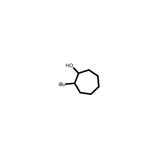 CCC(C)C1CCCCCC1O